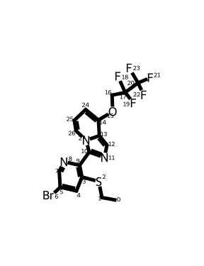 CCSc1cc(Br)cnc1-c1ncc2c(OCC(F)(F)C(F)(F)F)cccn12